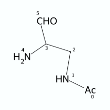 CC(=O)NCC(N)C=O